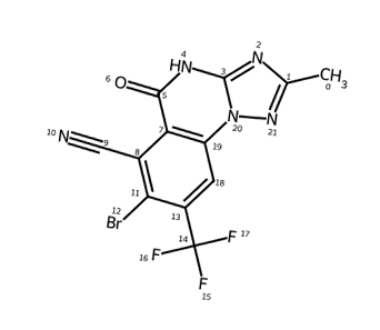 Cc1nc2[nH]c(=O)c3c(C#N)c(Br)c(C(F)(F)F)cc3n2n1